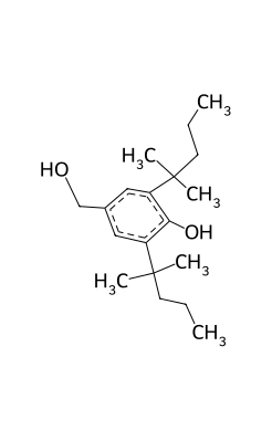 CCCC(C)(C)c1cc(CO)cc(C(C)(C)CCC)c1O